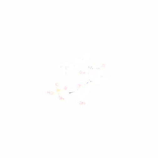 CCCCC(C)(C)C.Cc1cn([C@H]2C[C@H](O)[C@@H](COP(=O)(O)O)O2)c(=O)[nH]c1=O